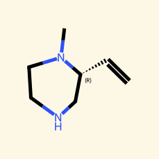 C=C[C@@H]1CNCCN1C